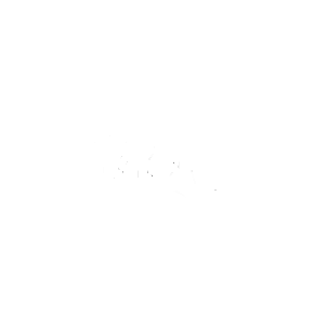 N[C@H](C(=O)Nc1ccc(Br)c(Cl)n1)C(C1CC1)C1CC1